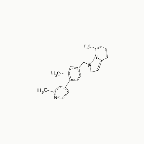 Cc1cc(-c2ccc(CN3CC=C4C=CC=C(C(F)(F)F)N43)cc2C)ccn1